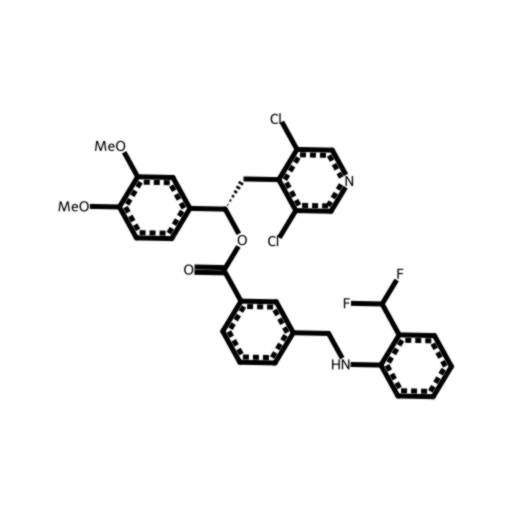 COc1ccc([C@H](Cc2c(Cl)cncc2Cl)OC(=O)c2cccc(CNc3ccccc3C(F)F)c2)cc1OC